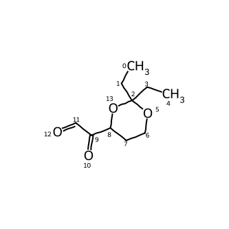 CCC1(CC)OCCC(C(=O)C=O)O1